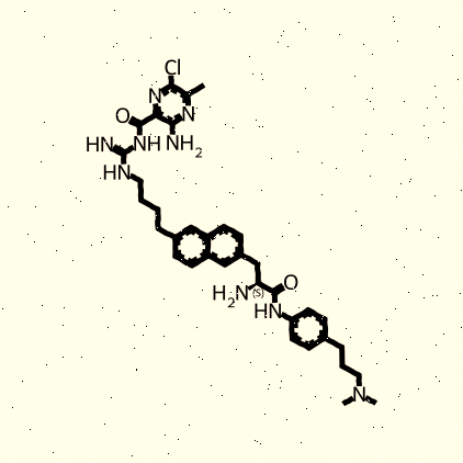 Cc1nc(N)c(C(=O)NC(=N)NCCCCc2ccc3cc(C[C@H](N)C(=O)Nc4ccc(CCCN(C)C)cc4)ccc3c2)nc1Cl